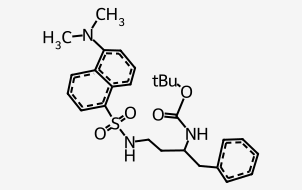 CN(C)c1cccc2c(S(=O)(=O)NCCC(Cc3ccccc3)NC(=O)OC(C)(C)C)cccc12